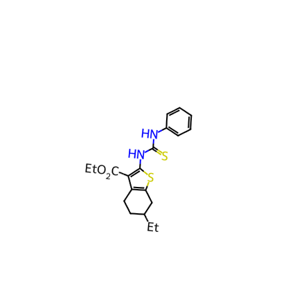 CCOC(=O)c1c(NC(=S)Nc2ccccc2)sc2c1CCC(CC)C2